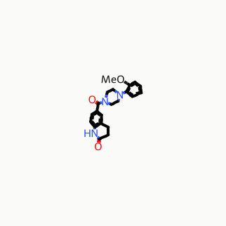 COc1ccccc1N1CCN(C(=O)c2ccc3c(c2)CCC(=O)N3)CC1